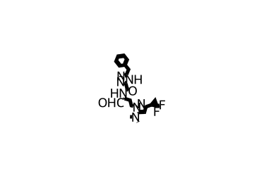 CN(C)c1cc(C2CC2(F)F)nn1CCC(C=O)NC(=O)c1nnc(Cc2ccccc2)[nH]1